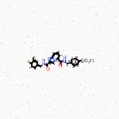 Cc1cc(CNC(=O)c2cn3c(C(=O)NCC45CCC(C(=O)O)(CC4)CC5)cccc3n2)ccc1F